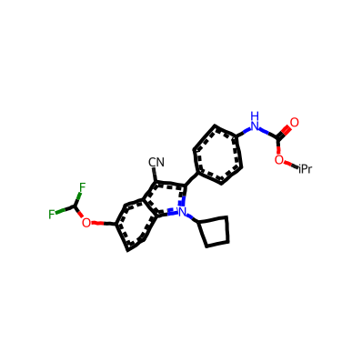 CC(C)OC(=O)Nc1ccc(-c2c(C#N)c3cc(OC(F)F)ccc3n2C2CCC2)cc1